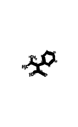 CC(C)=C(C(=O)O)c1ccccc1